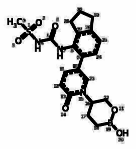 CS(=O)(=O)NC(=O)Nc1c(-c2ccc(=O)n(C3CCB(O)OC3)c2)ccc2c1CCC2